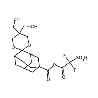 O=C(OC(=O)C(F)(F)S(=O)(=O)O)C12CC3CC(C1)C1(OCC(CO)(CO)CO1)C(C3)C2